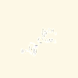 COc1cc(/C=C2\CCCN3C2=NOCC3C(C)C)ccc1-n1cnc(C)c1